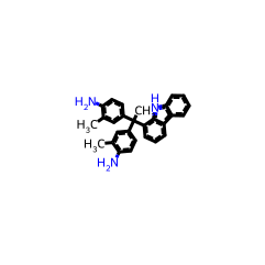 Cc1cc(C(C)(c2ccc(N)c(C)c2)c2cccc3c2[nH]c2ccccc23)ccc1N